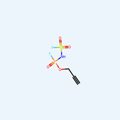 C#CCOP(=O)(F)NS(=O)(=O)F